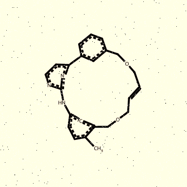 Cc1ccc2cc1COC/C=C/COCc1cccc(c1)-c1ccnc(n1)N2